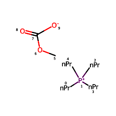 CCC[P+](CCC)(CCC)CCC.COC(=O)[O-]